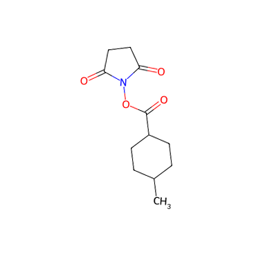 CC1CCC(C(=O)ON2C(=O)CCC2=O)CC1